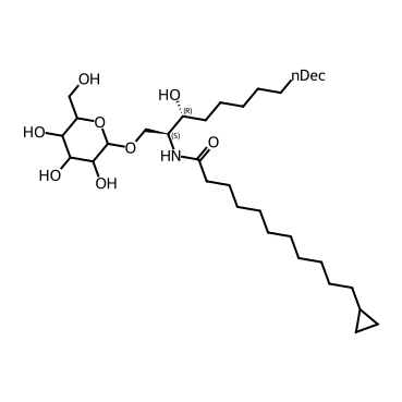 CCCCCCCCCCCCCCC[C@@H](O)[C@H](COC1OC(CO)C(O)C(O)C1O)NC(=O)CCCCCCCCCCC1CC1